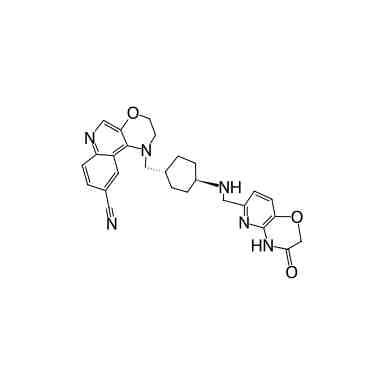 N#Cc1ccc2ncc3c(c2c1)N(C[C@H]1CC[C@H](NCc2ccc4c(n2)NC(=O)CO4)CC1)CCO3